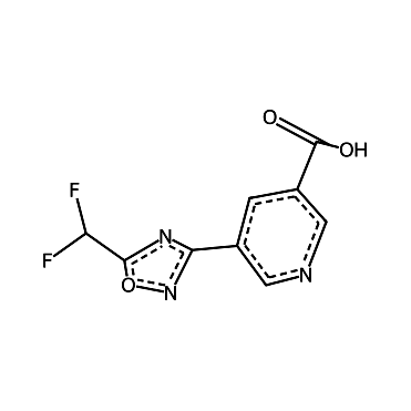 O=C(O)c1cncc(-c2noc(C(F)F)n2)c1